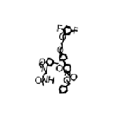 CC(=O)NCCN1CCOc2ccc(COC3CN(C(=O)OCc4ccccc4)CCC3c3ccc(OCCCOc4cc(F)ccc4F)cc3)cc21